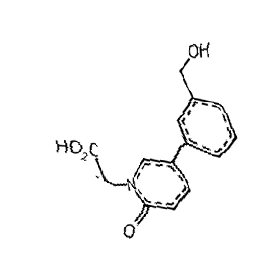 O=C(O)[CH]n1cc(-c2cccc(CO)c2)ccc1=O